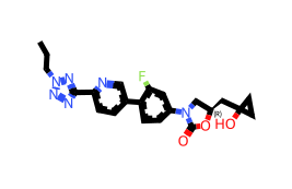 CCCn1nnc(-c2ccc(-c3ccc(N4C[C@@H](CC5(O)CC5)OC4=O)cc3F)cn2)n1